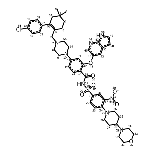 CC1(C)CCC(CN2CCN(c3ccc(C(=O)NS(=O)(=O)c4ccc(N5CCC(N6CCOCC6)CC5)c([N+](=O)[O-])c4)c(Oc4cnc5[nH]ccc5c4)c3)CC2)=C(c2ccc(Cl)cc2)C1